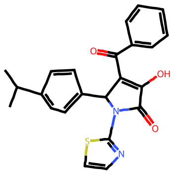 CC(C)c1ccc(C2C(C(=O)c3ccccc3)=C(O)C(=O)N2c2nccs2)cc1